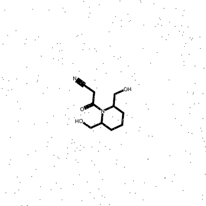 N#CCC(=O)N1C(CO)CCCC1CO